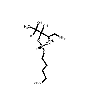 CCCCCCCCCCCCCCOP(=O)(O)OC(O)(C(N)CN)C(C)(O)O